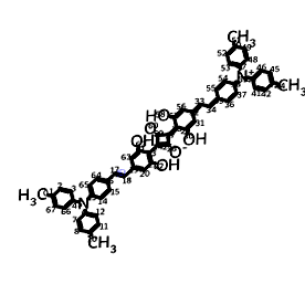 Cc1ccc(N(c2ccc(C)cc2)c2ccc(/C=C/c3cc(O)c(C4=C([O-])C(=c5c(O)cc(=CC=C6C=CC(=[N+](c7ccc(C)cc7)c7ccc(C)cc7)C=C6)cc5O)C4=O)c(O)c3)cc2)cc1